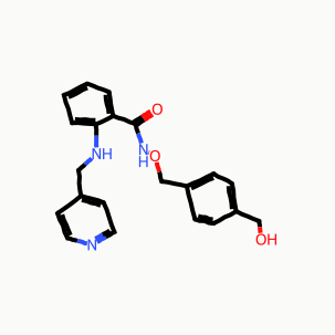 O=C(NOCc1ccc(CO)cc1)c1ccccc1NCc1ccncc1